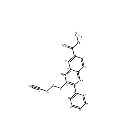 COC(=O)c1ccc2nc(-c3ccccc3)c(CCCC#N)nc2c1